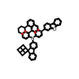 c1ccc(N(c2ccc(-c3ccc4c(c3)oc3ccccc34)cc2)c2ccc3c(c2)C2(c4ccccc4-3)C3CC4CC5CC2C453)c(-c2cccc3cccc(C4CCCCC4)c23)c1